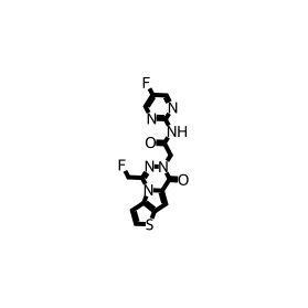 O=C(Cn1nc(CF)n2c(cc3sccc32)c1=O)Nc1ncc(F)cn1